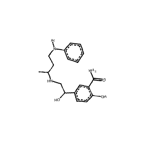 CC(=O)N(CCC(C)NCC(O)c1ccc(O)c(C(N)=O)c1)c1ccccc1